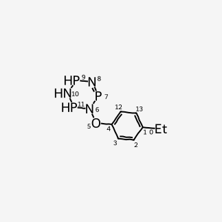 CCc1ccc(On2pn[pH][nH][pH]2)cc1